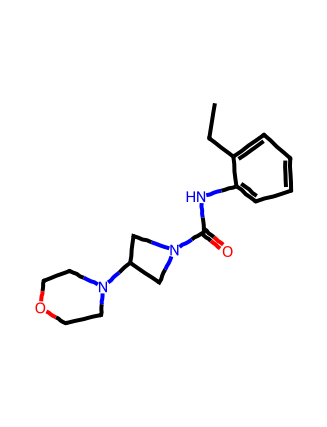 CCc1ccccc1NC(=O)N1CC(N2CCOCC2)C1